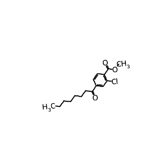 CCCCCCCC(=O)c1ccc(C(=O)OC)c(Cl)c1